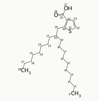 CCCCCCCCCCC(CCCCCCCC)Cc1sccc1C(=O)O